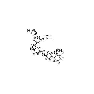 CCOC(=O)CN(CCCOC)c1noc2ccc(COc3ccc(-c4cc(F)c(F)cc4OC)cc3)cc12